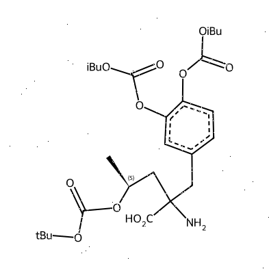 CC(C)COC(=O)Oc1ccc(CC(N)(C[C@H](C)OC(=O)OC(C)(C)C)C(=O)O)cc1OC(=O)OCC(C)C